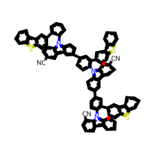 N#Cc1ccc2c(c1)c1cc(-c3ccc(-n4c5ccc(-c6ccc(-n7c8ccccc8c8cccc(C#N)c87)c(-c7ccc8sc9ccccc9c8c7)c6)cc5c5ccc(C#N)cc54)c(-c4ccc5sc6ccccc6c5c4)c3)ccc1n2-c1ccccc1-c1ccc2sc3ccccc3c2c1